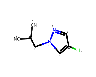 N#CC(C#N)Cn1cc(Cl)cn1